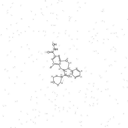 O=C(NO)c1cc(F)c2c(c1)OCC(c1ccccc1)N(C(=O)N1CCOCC1)C2